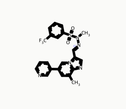 Cc1cc(-c2cccnc2)cn2c(/C=N/N(C)S(=O)(=O)c3cccc(C(F)(F)F)c3)cnc12